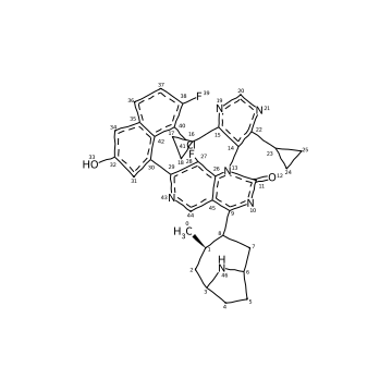 C[C@@H]1CC2CCC(CC1c1nc(=O)n(-c3c(C4CC4)ncnc3C3CC3)c3c(F)c(-c4cc(O)cc5ccc(F)c(Cl)c45)ncc13)N2